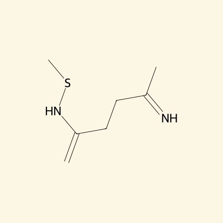 C=C(CCC(C)=N)NSC